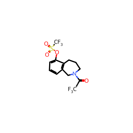 O=C(N1CCCc2c(cccc2OS(=O)(=O)C(F)(F)F)C1)C(F)(F)F